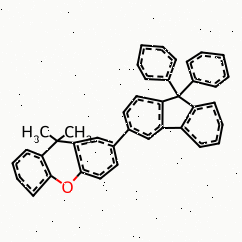 CC1(C)c2ccccc2Oc2ccc(-c3ccc4c(c3)-c3ccccc3C4(c3ccccc3)c3ccccc3)cc21